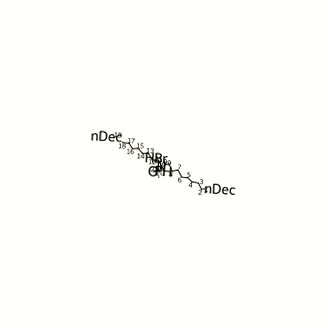 Br.CCCCCCCCCCCCCCCCCCN(CCCCCCCCCCCCCCCCCC)[PH]=O